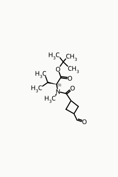 CC(C)[C@@H](C(=O)OC(C)(C)C)N(C)C(=O)C1CC(C=O)C1